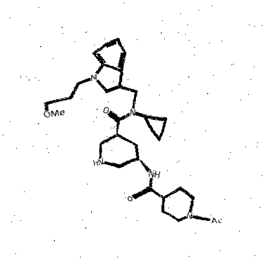 COCCCN1CC(CN(C(=O)[C@@H]2CNC[C@H](NC(=O)C3CCN(C(C)=O)CC3)C2)C2CC2)c2ccccc21